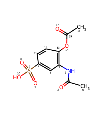 CC(=O)Nc1cc(S(=O)(=O)O)ccc1OC(C)=O